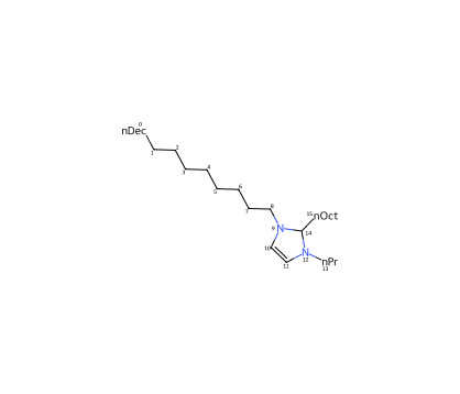 CCCCCCCCCCCCCCCCCCN1C=CN(CCC)C1CCCCCCCC